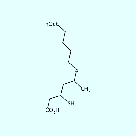 CCCCCCCCCCCCSC(C)CC(S)CC(=O)O